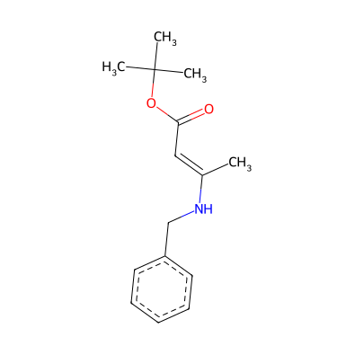 CC(=CC(=O)OC(C)(C)C)NCc1ccccc1